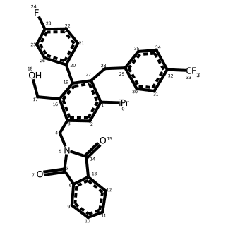 CC(C)c1cc(CN2C(=O)c3ccccc3C2=O)c(CO)c(-c2ccc(F)cc2)c1Cc1ccc(C(F)(F)F)cc1